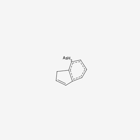 C1=Cc2ccccc2C1.[AsH3]